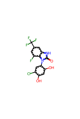 O=c1[nH]c2cc(C(F)(F)F)cc(F)c2n1-c1cc(Cl)c(O)cc1O